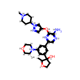 CC1OCCC1(O)c1cc(-c2cnc(N)c(Oc3cnn(C4CCN(C)CC4)c3)n2)cc(N2CCOC[C@H]2C)c1